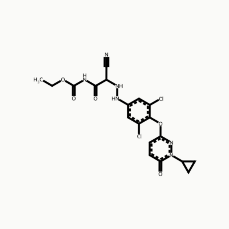 CCOC(=O)NC(=O)C(C#N)NNc1cc(Cl)c(Oc2ccc(=O)n(C3CC3)n2)c(Cl)c1